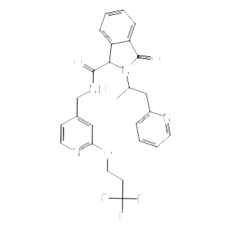 CC(Cc1ccccn1)N1C(=O)c2ccccc2C1C(=O)NCc1ccnc(OCCC(F)(F)F)c1